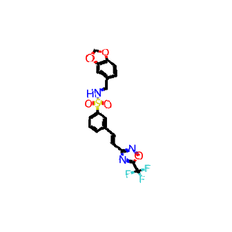 O=S(=O)(NCc1ccc2c(c1)OCO2)c1cccc(C=Cc2noc(C(F)(F)F)n2)c1